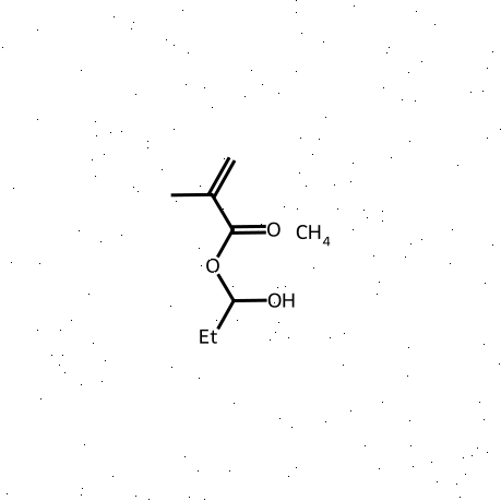 C.C=C(C)C(=O)OC(O)CC